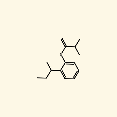 C=C(Sc1ccccc1C(C)CC)C(C)C